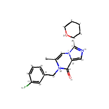 Cc1cn2c([C@H]3CCCCO3)ncc2c(=O)n1Cc1cccc(F)c1